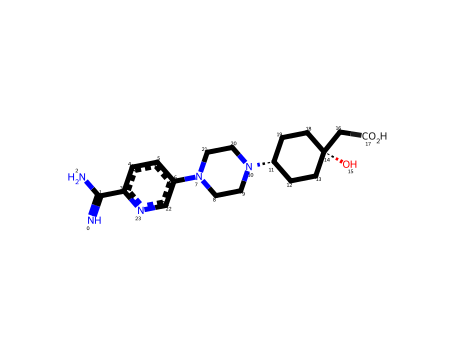 N=C(N)c1ccc(N2CCN([C@H]3CC[C@](O)(CC(=O)O)CC3)CC2)cn1